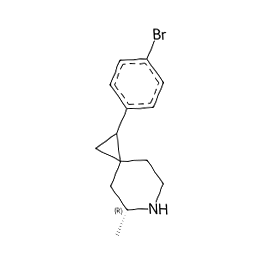 C[C@@H]1CC2(CCN1)CC2c1ccc(Br)cc1